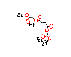 CCOC(COC(=O)CCC(=O)OCC(OCC)OCC)OCC